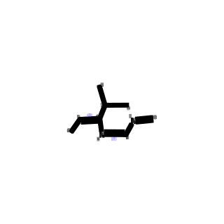 C=N/C=N\C(=C/C)C(C)C